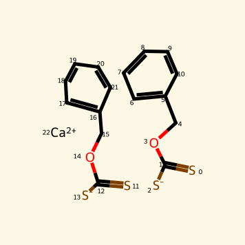 S=C([S-])OCc1ccccc1.S=C([S-])OCc1ccccc1.[Ca+2]